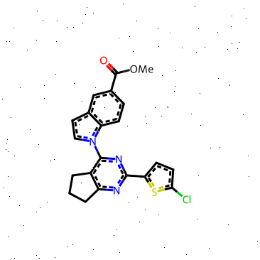 COC(=O)c1ccc2c(ccn2-c2nc(-c3ccc(Cl)s3)nc3c2CCC3)c1